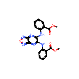 COC(=O)c1ccccc1Nc1nc2nonc2nc1Nc1ccccc1C(=O)OC